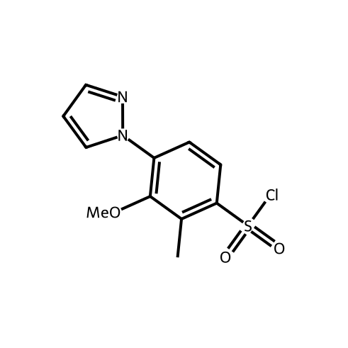 COc1c(-n2cccn2)ccc(S(=O)(=O)Cl)c1C